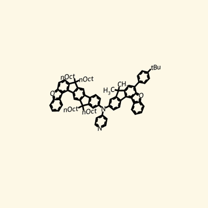 CCCCCCCCC1(CCCCCCCC)c2cc(N(c3ccncc3)c3ccc4c(c3)C(C)(C)c3cc(-c5ccc(C(C)(C)C)cc5)c5oc6ccccc6c5c3-4)ccc2-c2cc3c(cc21)-c1c(ccc2oc4ccccc4c12)C3(CCCCCCCC)CCCCCCCC